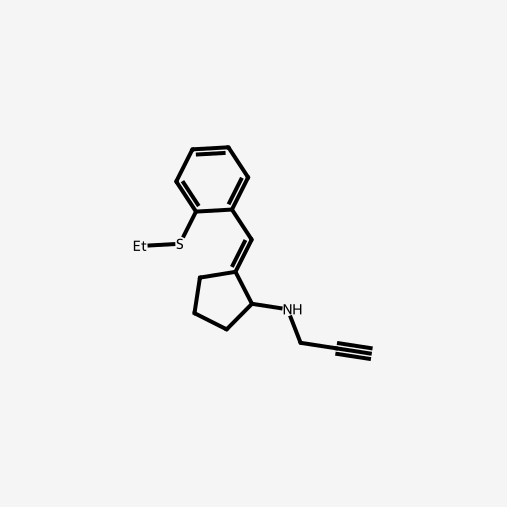 C#CCNC1CCC/C1=C\c1ccccc1SCC